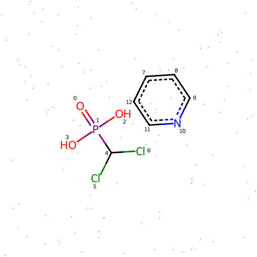 O=P(O)(O)C(Cl)Cl.c1ccncc1